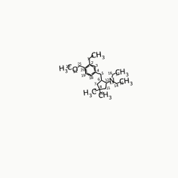 CCc1cc(CC2CC(C)(C)CC2N(CC)CC)ccc1COC